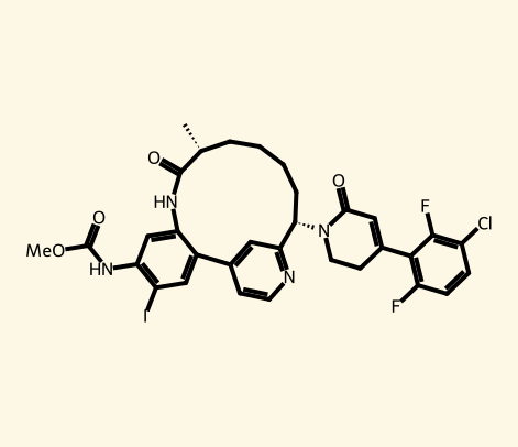 COC(=O)Nc1cc2c(cc1I)-c1ccnc(c1)[C@@H](N1CCC(c3c(F)ccc(Cl)c3F)=CC1=O)CCCC[C@@H](C)C(=O)N2